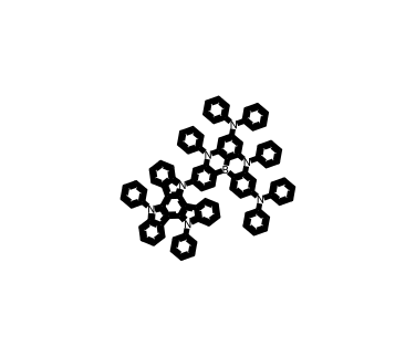 c1ccc(N(c2ccccc2)c2ccc3c(c2)N(c2ccccc2)c2cc(N(c4ccccc4)c4ccccc4)cc4c2B3c2ccc(-n3c5ccccc5c5c6c(c7ccccc7n6-c6ccccc6)c6c(c7ccccc7n6-c6ccccc6)c53)cc2N4c2ccccc2)cc1